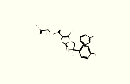 CC(C)C1=C(C(=O)NCC(N)=O)SC2=N[C@@](C)(c3ccc(Cl)cc3)[C@@H](c3ccc(Cl)cc3)N21